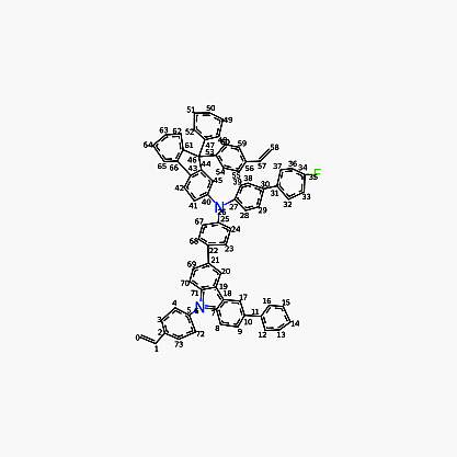 C=Cc1ccc(-n2c3ccc(-c4ccccc4)cc3c3cc(-c4ccc(N(c5ccc(-c6ccc(F)cc6)cc5)c5ccc6c(c5)C(c5ccccc5)(c5ccc(C=C)cc5)c5ccccc5-6)cc4)ccc32)cc1